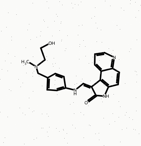 CN(CCO)Cc1ccc(N/C=C2\C(=O)Nc3ccc4ncccc4c32)cc1